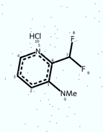 CNc1cccnc1C(F)F.Cl